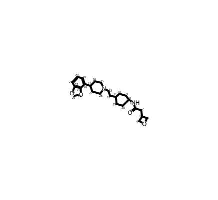 O=C(CC1COC1)NC1CCC(CCN2CCC(c3cccc4c3OCO4)CC2)CC1